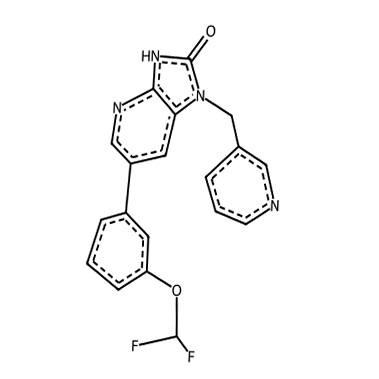 O=c1[nH]c2ncc(-c3cccc(OC(F)F)c3)cc2n1Cc1cccnc1